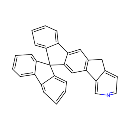 c1ccc2c(c1)-c1ccccc1C21c2ccccc2-c2cc3c(cc21)-c1cnccc1C3